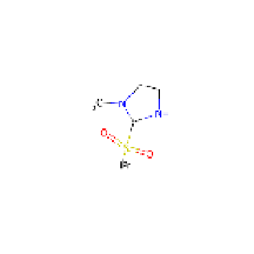 CC(C)S(=O)(=O)C1NCCN1C